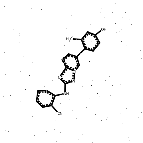 Cc1cc(O)ccc1-c1ccc2nc(Nc3ccccc3C#N)nn2c1